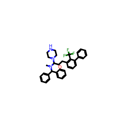 CN(C(c1ccccc1)c1ccccc1)C(C(=O)Cc1cccc(-c2ccccc2)c1C(F)(F)F)N1CCNCC1